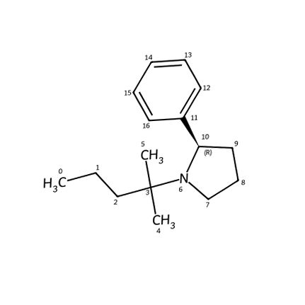 CCCC(C)(C)N1CCC[C@@H]1c1ccccc1